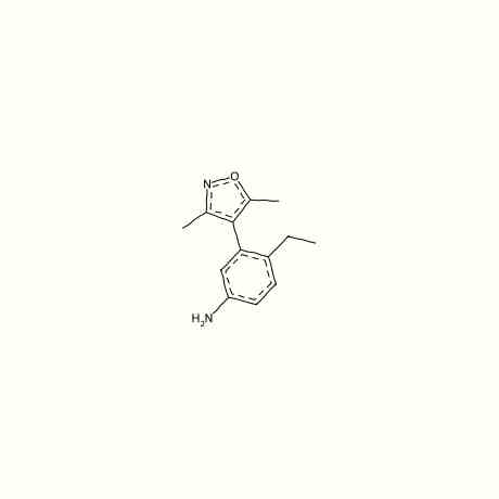 CCc1ccc(N)cc1-c1c(C)noc1C